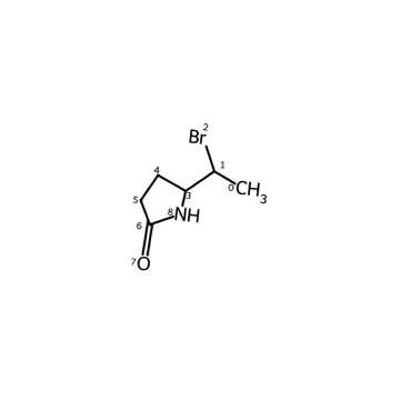 CC(Br)C1CCC(=O)N1